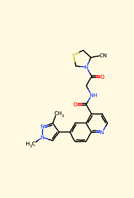 Cc1nn(C)cc1-c1ccc2nccc(C(=O)NCC(=O)N3CSCC3C#N)c2c1